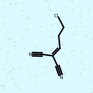 N#CC(C#N)=CCCCl